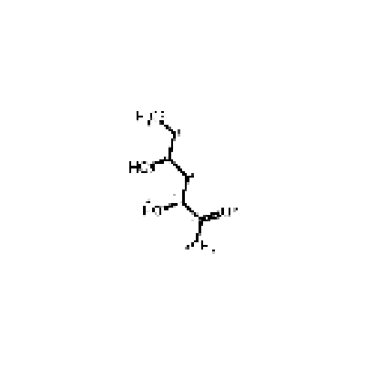 CCC(O)C[C@H](O)C(C)=O